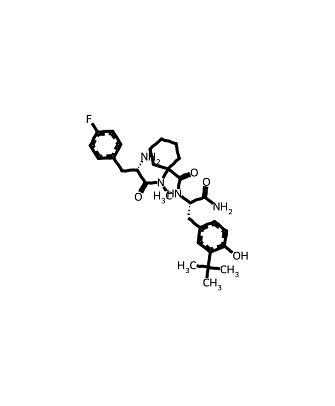 CN(C(=O)[C@@H](N)Cc1ccc(F)cc1)C1(C(=O)N[C@@H](Cc2ccc(O)c(C(C)(C)C)c2)C(N)=O)CCCCC1